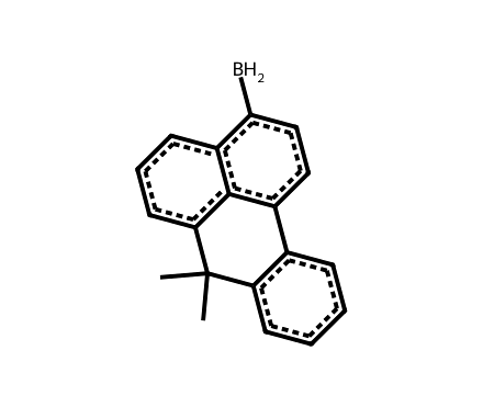 Bc1ccc2c3c(cccc13)C(C)(C)c1ccccc1-2